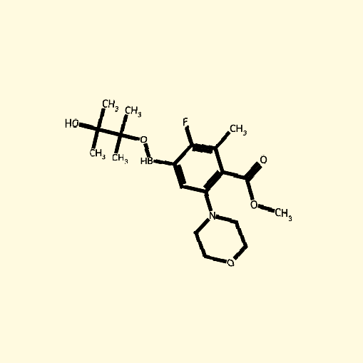 COC(=O)c1c(N2CCOCC2)cc(BOC(C)(C)C(C)(C)O)c(F)c1C